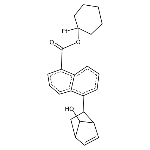 CCC1(OC(=O)c2cccc3c(C4CC5C=CC4C5O)cccc23)CCCCC1